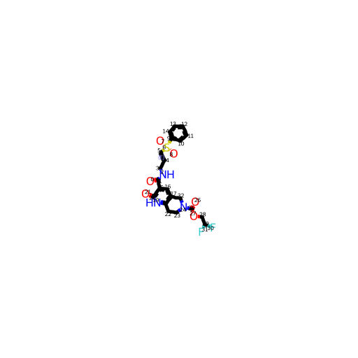 O=C(NC/C=C/S(=O)(=O)c1ccccc1)c1cc2c([nH]c1=O)CCN(C(=O)OCC(F)F)C2